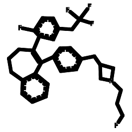 FCCCN1CC(Cc2ccc(C3=C(c4cc(CC(F)(F)F)ccc4F)CCCc4ccccc43)cc2)C1